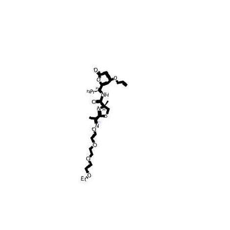 C=CCOc1cc([C@@H](CCC)NC(=O)[C@]2(C)CSC(/C(C)=N/OCCOCCOCCOCC)=N2)oc(=O)c1